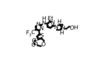 CCc1nc(N2C[C@H]3C[C@@H]2CN3CCO)ccc1Nc1ncc(C(F)(F)F)c(-c2cc3c(s2)COCCS3(=O)=O)n1